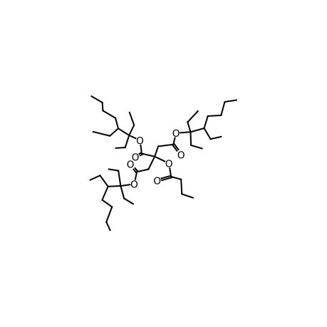 CCCCC(CC)C(CC)(CC)OC(=O)CC(CC(=O)OC(CC)(CC)C(CC)CCCC)(OC(=O)CCC)C(=O)OC(CC)(CC)C(CC)CCCC